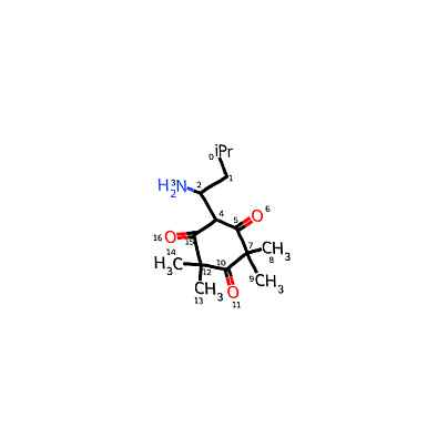 CC(C)CC(N)C1C(=O)C(C)(C)C(=O)C(C)(C)C1=O